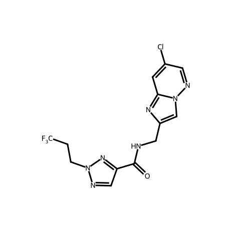 O=C(NCc1cn2ncc(Cl)cc2n1)c1cnn(CCC(F)(F)F)n1